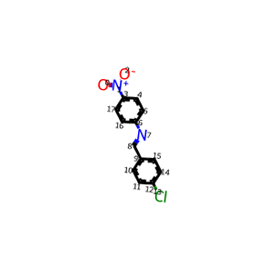 O=[N+]([O-])c1ccc(/N=C/c2ccc(Cl)cc2)cc1